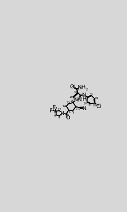 N#CC1CC(C(=O)N2CCC(F)(F)C2)CCC1n1cc(C(N)=O)c(Nc2ccc(Cl)cc2)n1